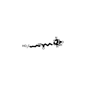 O=C(O)CCCCCNC(=O)CCCC[C@@H]1S[C@@H]2[C@H]3[C@@H]1NC(=O)N32